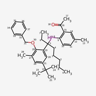 CCCCCC(CC)(Pc1ccc(C)cc1C(C)=O)c1cc(C(C)(C)C)cc(C)c1OCc1ccccc1